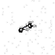 COc1cc(O)cc(O)c1C(=O)/C=C/c1c(O)cccc1O